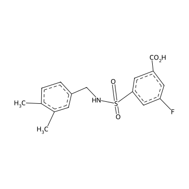 Cc1ccc(CNS(=O)(=O)c2cc(F)cc(C(=O)O)c2)cc1C